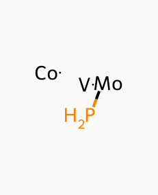 [Co].[PH2][Mo].[V]